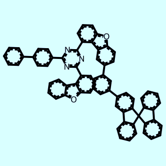 c1ccc(-c2ccc(-c3nc(-c4cccc5oc6ccccc6c45)nc(-c4cccc5oc6ccc(-c7cccc(-c8ccc9c(c8)-c8ccccc8C98c9ccccc9-c9ccccc98)c7)cc6c45)n3)cc2)cc1